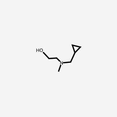 CN(CCO)CC1CC1